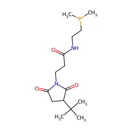 CP(C)CCNC(=O)CCN1C(=O)CC(C(C)(C)C)C1=O